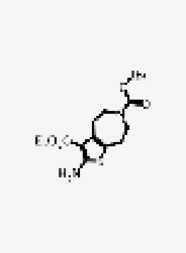 CCOC(=O)c1c(N)sc2c1CCN(C(=O)OC(C)(C)C)CC2